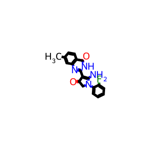 Cc1ccc2c(=O)[nH]c(C3=C(N)N(c4ccccc4F)CC3=O)nc2c1